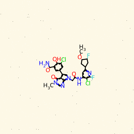 CO[C@@H]1CC(c2cc(NC(=O)Cn3cc(-c4cc(Cl)c(O)c(C(N)=O)c4)c4c(=O)n(C)cnc43)c(Cl)c(F)n2)C[C@@H]1F